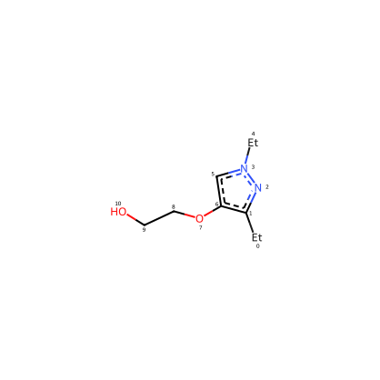 CCc1nn(CC)cc1OCCO